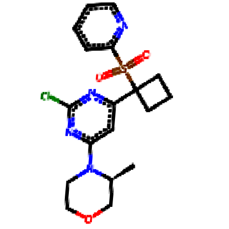 C[C@H]1COCCN1c1cc(C2(S(=O)(=O)c3ccccn3)CCC2)nc(Cl)n1